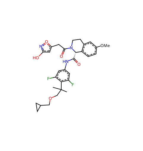 COc1ccc2c(c1)CCN(C(=O)Cc1cc(O)no1)[C@H]2C(=O)Nc1cc(F)c(C(C)(C)COCC2CC2)c(F)c1